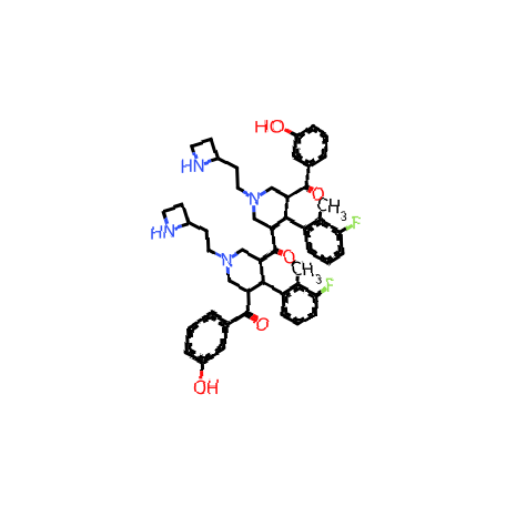 Cc1c(F)cccc1C1C(C(=O)c2cccc(O)c2)CN(CCC2CCN2)CC1C(=O)C1CN(CCC2CCN2)CC(C(=O)c2cccc(O)c2)C1c1cccc(F)c1C